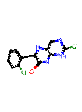 O=c1nc2[nH]c(Cl)ncc-2nc1-c1ccccc1Cl